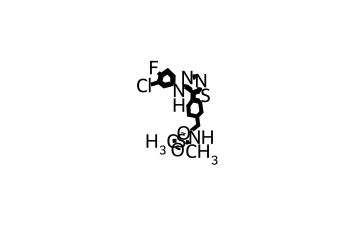 CC(NCCC1CCc2c(sc3ncnc(Nc4ccc(F)c(Cl)c4)c23)C1)S(C)(=O)=O